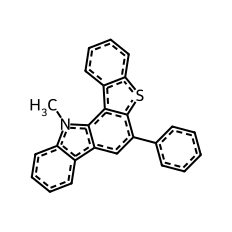 Cn1c2ccccc2c2cc(-c3ccccc3)c3sc4ccccc4c3c21